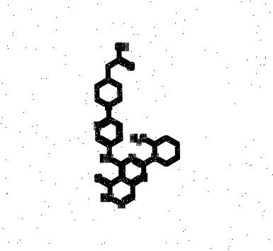 CC1CCCCN1c1nc(Nc2ccc(N3CCC(CC(=O)O)CC3)nc2)c2c(=O)[nH]ncc2n1